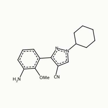 COc1c(N)cccc1-c1nn(C2CCCCC2)cc1C#N